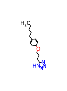 CCCCCc1ccc(OCCCc2nnn[nH]2)cc1